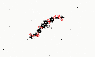 C=CC(=O)OCC(O)COc1ccc(C(=O)Oc2ccc3c(c2)C(C(F)(F)F)c2cc(OC(=O)c4ccc(OCC(O)COC(=O)C=C)cc4)ccc2-3)cc1